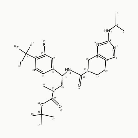 CC(C)Nc1ncc2c(n1)CN(C(=O)N[C@H](CN(C)C(=O)OC(C)(C)C)c1ccc(C(F)(F)F)c(F)c1)CC2